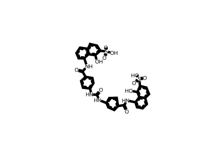 O=C(Nc1ccc(C(=O)Nc2cccc3ccc(S(=O)(=O)O)c(O)c23)cc1)Nc1ccc(C(=O)Nc2cccc3ccc(S(=O)(=O)O)c(O)c23)cc1